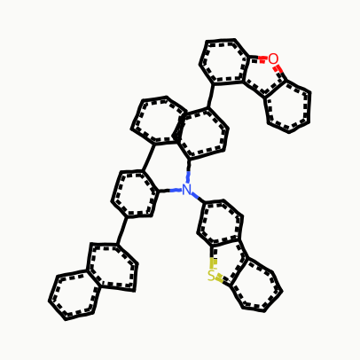 c1ccc(-c2ccc(-c3ccc4ccccc4c3)cc2N(c2ccc(-c3cccc4oc5ccccc5c34)cc2)c2ccc3c(c2)sc2ccccc23)cc1